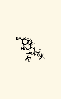 CC(C)(C)OC(=O)NCC(c1c[nH]c2cc(Br)ccc12)N(O)C(=O)OC(C)(C)C